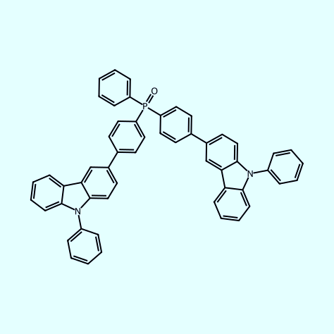 O=P(c1ccccc1)(c1ccc(-c2ccc3c(c2)c2ccccc2n3-c2ccccc2)cc1)c1ccc(-c2ccc3c(c2)c2ccccc2n3-c2ccccc2)cc1